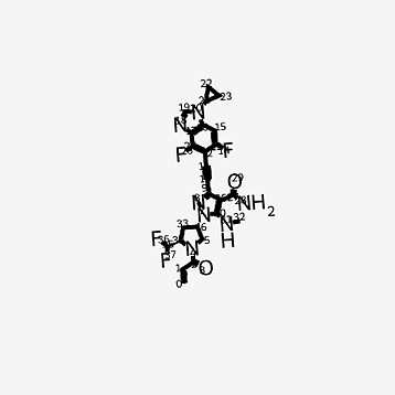 C=CC(=O)N1C[C@@H](n2nc(C#Cc3c(F)cc4c(ncn4C4CC4)c3F)c(C(N)=O)c2NC)C[C@@H]1C(F)F